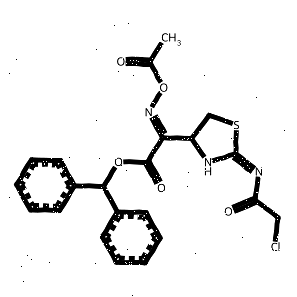 CC(=O)ON=C(C(=O)OC(c1ccccc1)c1ccccc1)C1CSC(=NC(=O)CCl)N1